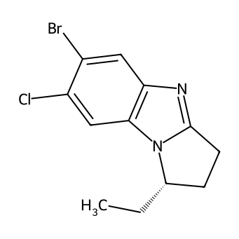 CC[C@H]1CCc2nc3cc(Br)c(Cl)cc3n21